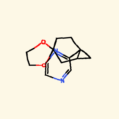 c1cnc(C23CCC4(CC2C3)OCCO4)cn1